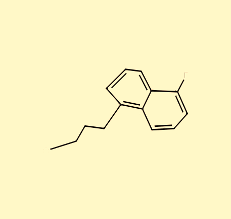 [O]CCCc1cccc2c(F)cccc12